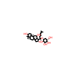 CC(C)=CCC[C@](C)(O[C@@H]1C[C@H](CO)[C@@H](O)[C@H](O)[C@H]1O)C1CC[C@]2(C)C1C(O)C[C@@H]1[C@@]3(C)CC[C@H](O)C(C)(C)[C@@H]3CC[C@]12C